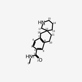 CNC(=O)c1ccc2c(c1)CCC1(CCCNC1)C2